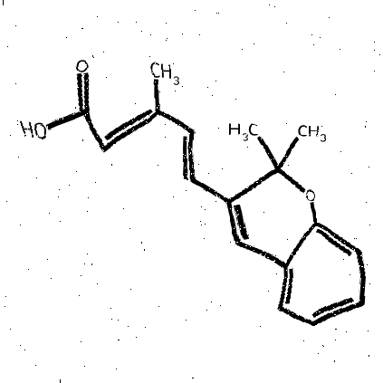 CC(C=CC1=Cc2ccccc2OC1(C)C)=CC(=O)O